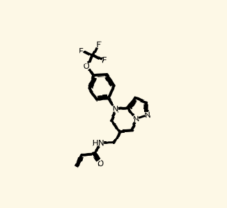 C=CC(=O)NCC1CN(c2ccc(OC(F)(F)F)cc2)c2ccnn2C1